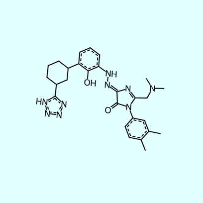 Cc1ccc(N2C(=O)C(=NNc3cccc(C4CCCC(c5nnn[nH]5)C4)c3O)N=C2CN(C)C)cc1C